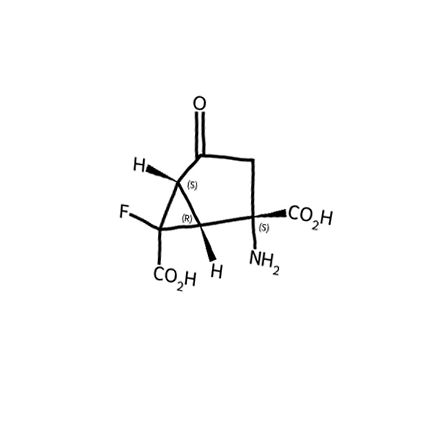 N[C@@]1(C(=O)O)CC(=O)[C@@H]2[C@H]1C2(F)C(=O)O